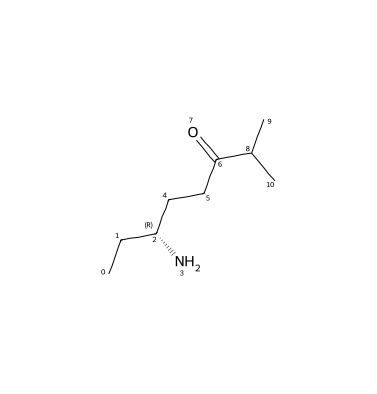 CC[C@@H](N)CCC(=O)C(C)C